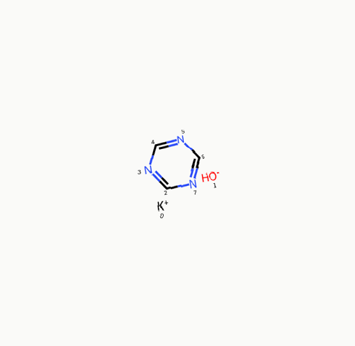 [K+].[OH-].c1ncncn1